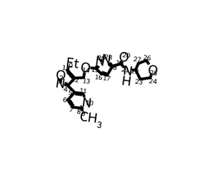 CCc1onc(-c2ccc(C)nc2)c1COc1ccc(C(=O)NC2CCOCC2)nn1